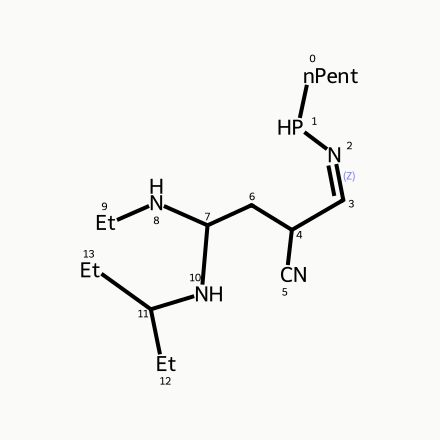 CCCCCP/N=C\C(C#N)CC(NCC)NC(CC)CC